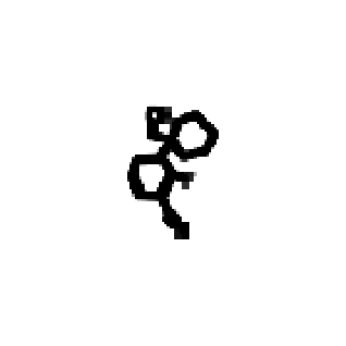 C=CC1(c2cccc(C#N)c2F)CCCCC1